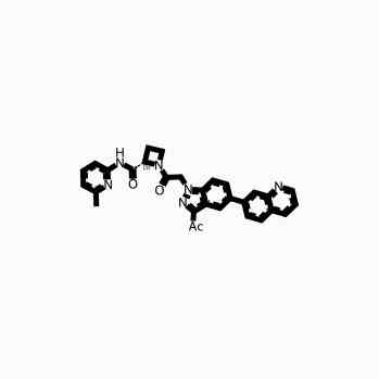 CC(=O)c1nn(CC(=O)N2CC[C@H]2C(=O)Nc2cccc(C)n2)c2ccc(-c3ccc4cccnc4c3)cc12